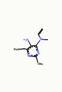 C=CN(C)c1nc(SC)nc(NC)c1N